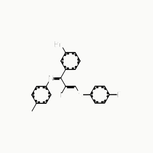 Cc1ccc(N=C(C(I)=CSc2ccc(F)cc2)c2cccc(Br)c2)cc1